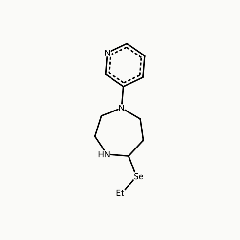 CC[Se]C1CCN(c2cccnc2)CCN1